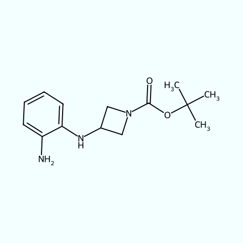 CC(C)(C)OC(=O)N1CC(Nc2ccccc2N)C1